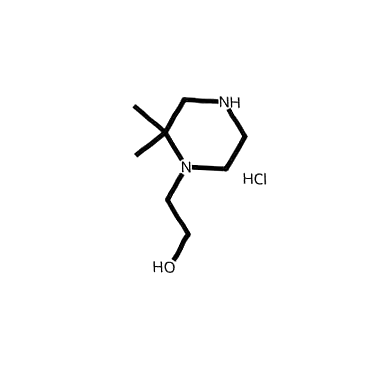 CC1(C)CNCCN1CCO.Cl